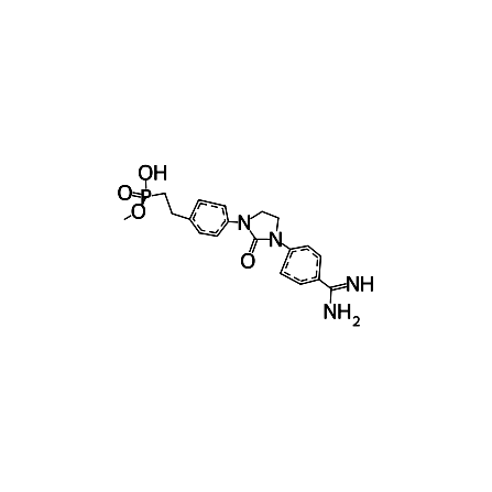 COP(=O)(O)CCc1ccc(N2CCN(c3ccc(C(=N)N)cc3)C2=O)cc1